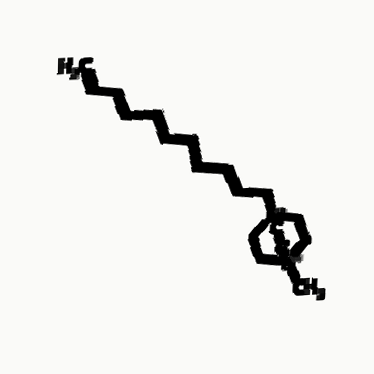 C=CCCCCCCCCC[N+]12CC[N+](C)(CC1)CC2